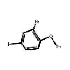 CC(C)Oc1ccc(I)cc1Br